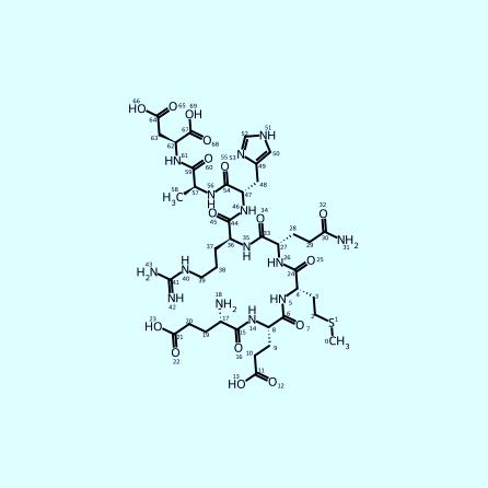 CSCC[C@H](NC(=O)[C@H](CCC(=O)O)NC(=O)[C@@H](N)CCC(=O)O)C(=O)N[C@@H](CCC(N)=O)C(=O)N[C@@H](CCCNC(=N)N)C(=O)N[C@@H](Cc1c[nH]cn1)C(=O)N[C@@H](C)C(=O)N[C@@H](CC(=O)O)C(=O)O